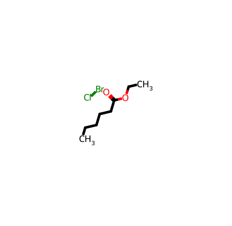 CCCCCC(=O)OCC.ClBr